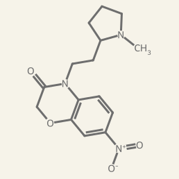 CN1CCCC1CCN1C(=O)COc2cc([N+](=O)[O-])ccc21